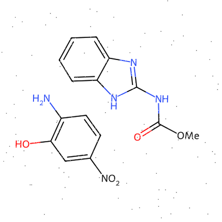 COC(=O)Nc1nc2ccccc2[nH]1.Nc1ccc([N+](=O)[O-])cc1O